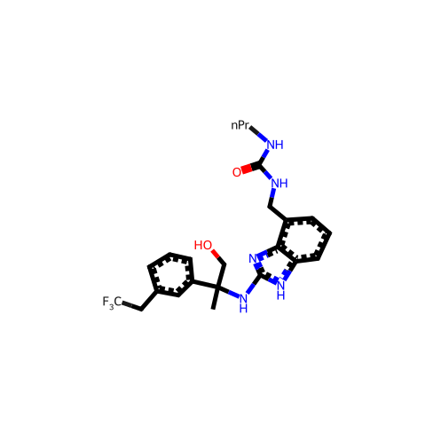 CCCNC(=O)NCc1cccc2[nH]c(NC(C)(CO)c3cccc(CC(F)(F)F)c3)nc12